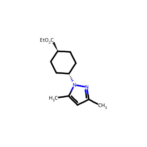 CCOC(=O)[C@H]1CC[C@H](n2nc(C)cc2C)CC1